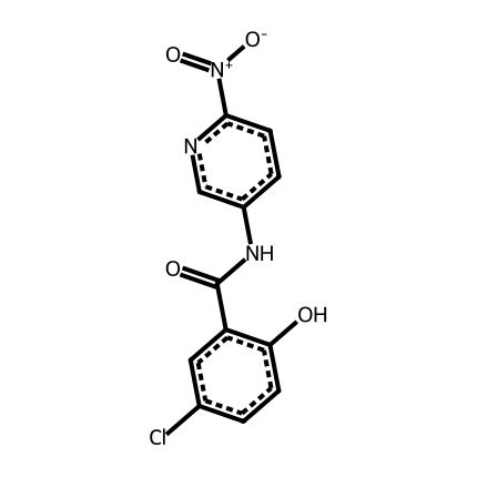 O=C(Nc1ccc([N+](=O)[O-])nc1)c1cc(Cl)ccc1O